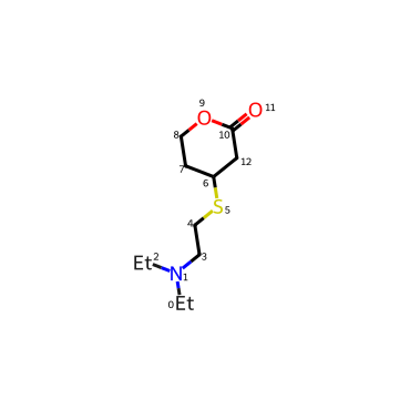 CCN(CC)CCSC1CCOC(=O)C1